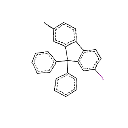 Cc1ccc2c(c1)C(c1ccccc1)(c1ccccc1)c1cc(I)ccc1-2